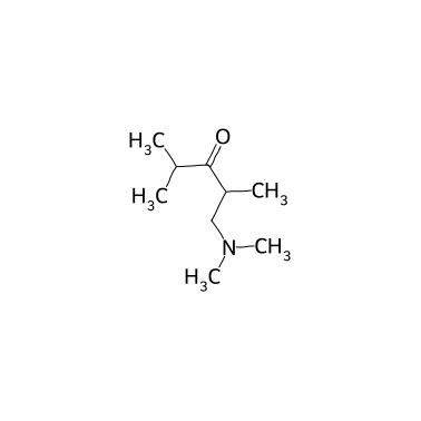 CC(C)C(=O)C(C)CN(C)C